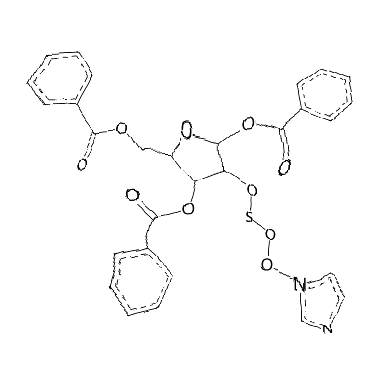 O=C(OCC1OC(OC(=O)c2ccccc2)C(OSOOn2ccnc2)C1OC(=O)c1ccccc1)c1ccccc1